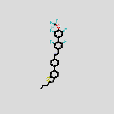 CCCc1cc2ccc(-c3ccc(/C=C/c4cc(F)c(-c5cc(F)c(OC(F)(F)F)c(F)c5)c(F)c4)cc3)cc2s1